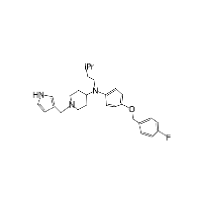 CC(C)CCN(c1ccc(OCc2ccc(F)cc2)cc1)C1CCN(Cc2cc[nH]c2)CC1